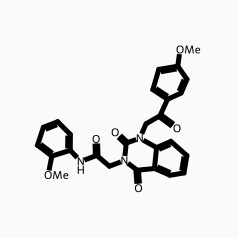 COc1ccc(C(=O)Cn2c(=O)n(CC(=O)Nc3ccccc3OC)c(=O)c3ccccc32)cc1